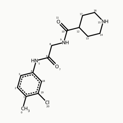 Cc1ccc(NC(=O)CNC(=O)C2CCNCC2)cc1Cl